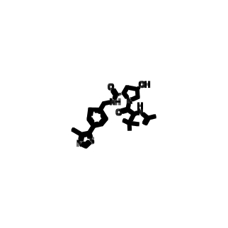 C=C(C)NC(C(=O)N1C[C@H](O)C[C@H]1C(=O)NCc1ccc(-c2scnc2C)cc1)C(C)(C)C